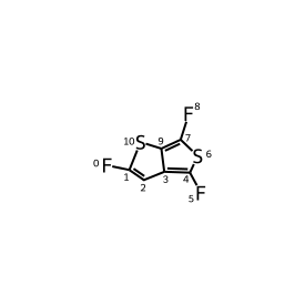 Fc1cc2c(F)sc(F)c2s1